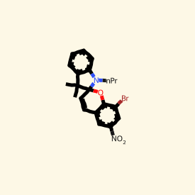 CCCN1c2ccccc2C(C)(C)C12C=Cc1cc([N+](=O)[O-])cc(Br)c1O2